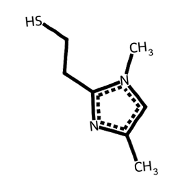 Cc1cn(C)c(CCS)n1